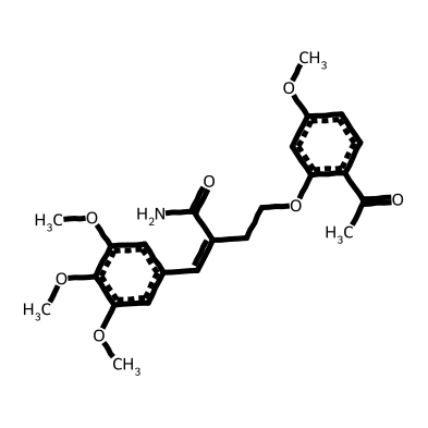 COc1ccc(C(C)=O)c(OCCC(=Cc2cc(OC)c(OC)c(OC)c2)C(N)=O)c1